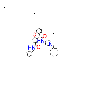 O=C(NCc1ccccc1)c1ccc2c(c1)C(C(=O)NC1CCN(C/C3=C/CCCCCCC3)CC1)c1ccccc1O2